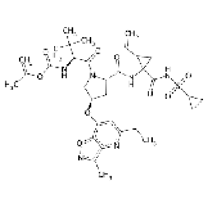 C=CC1CC1(NC(=O)[C@@H]1C[C@@H](Oc2cc(CC)nc3c(C)noc23)CN1C(=O)[C@@H](NC(=O)OC(=C)C)C(C)(C)C)C(=O)NS(=O)(=O)C1CC1